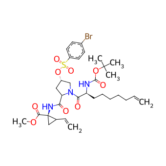 C=CCCCCC[C@H](NC(=O)OC(C)(C)C)C(=O)N1C[C@@H](OS(=O)(=O)c2ccc(Br)cc2)CC1C(=O)N[C@]1(C(=O)OC)CC1C=C